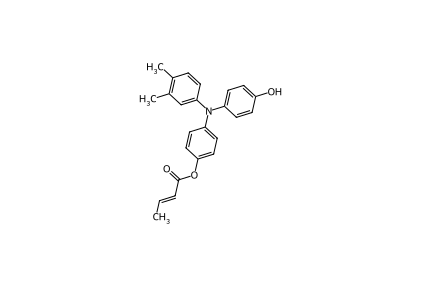 C/C=C/C(=O)Oc1ccc(N(c2ccc(O)cc2)c2ccc(C)c(C)c2)cc1